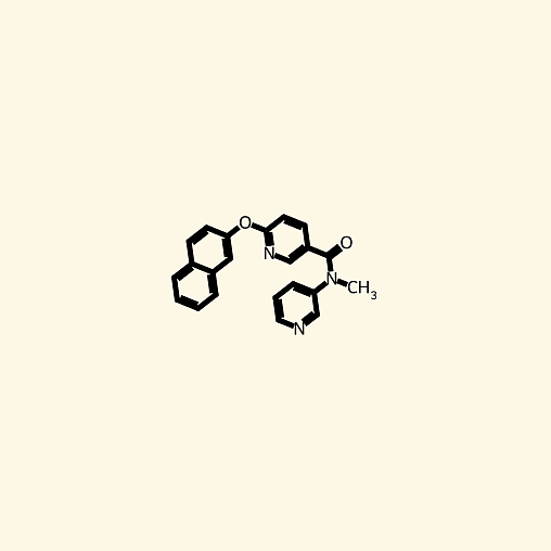 CN(C(=O)c1ccc(Oc2ccc3ccccc3c2)nc1)c1cccnc1